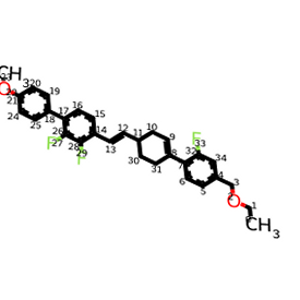 CCOCc1ccc(C2=CCC(/C=C/c3ccc(-c4ccc(OC)cc4)c(F)c3F)CC2)c(F)c1